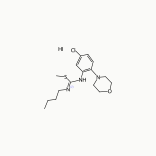 CCCC/N=C(/Nc1cc(Cl)ccc1N1CCOCC1)SC.I